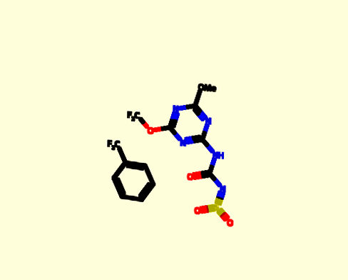 COc1nc(NC(=O)N=S(=O)=O)nc(OC(F)(F)F)n1.FC(F)(F)c1ccccc1